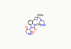 COC1(CN2CCNCC2)CC(c2cccc3c2n(C)c(=O)n3C2C(=O)CCNC2=O)C1